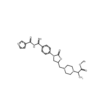 CC(C)OC(=O)C(C)N1CCN(CC2CN(c3ccc(C(=N)NC(=O)c4ccoc4)cc3)C(=O)O2)CC1